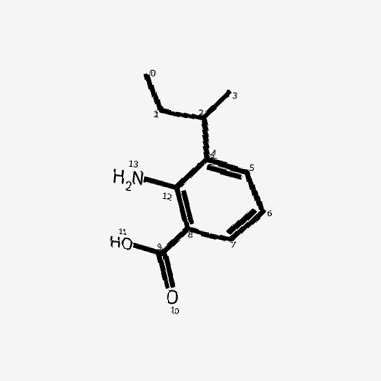 CCC(C)c1cccc(C(=O)O)c1N